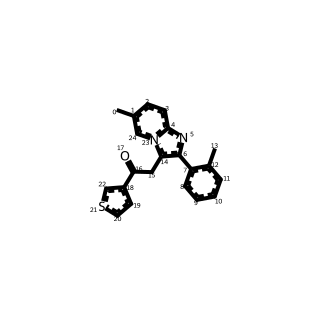 Cc1ccc2nc(-c3ccccc3C)c(CC(=O)c3ccsc3)n2c1